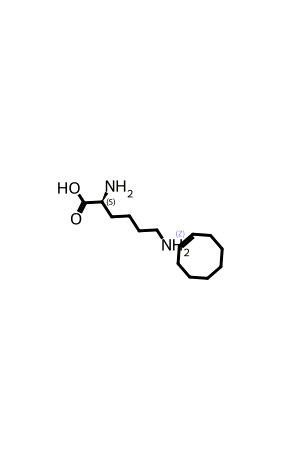 C1=C\CCCCCC/1.NCCCC[C@H](N)C(=O)O